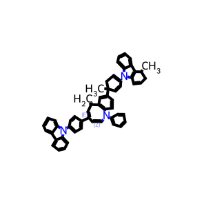 C=C1/C=C(c2ccc(-n3c4ccccc4c4ccccc43)cc2)\C=C/N(c2ccccc2)c2ccc(C3(C)C=CC(n4c5c(c6ccccc64)C(C)CC=C5)=CC3)cc21